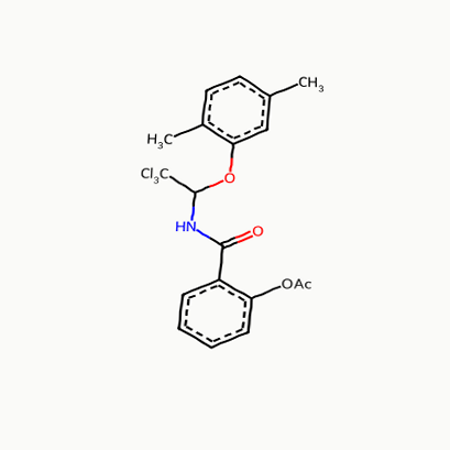 CC(=O)Oc1ccccc1C(=O)NC(Oc1cc(C)ccc1C)C(Cl)(Cl)Cl